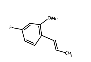 C/C=C/c1ccc(F)cc1OC